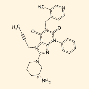 CC#CCn1c(N2CCC[C@@H](N)C2)nc2c1c(=O)n(Cc1ccncc1C#N)c(=O)n2-c1ccccc1